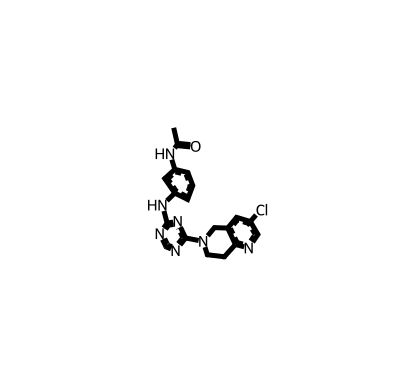 CC(=O)Nc1cccc(Nc2ncnc(N3CCc4ncc(Cl)cc4C3)n2)c1